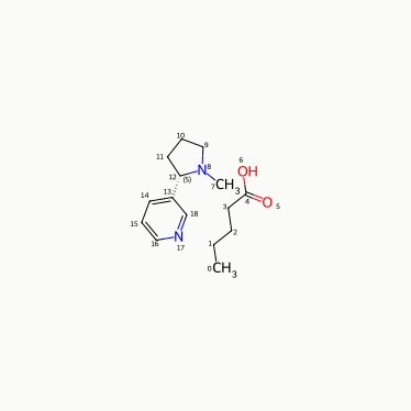 CCCCC(=O)O.CN1CCC[C@H]1c1cccnc1